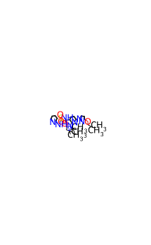 CC(C)COc1ccn(-c2ccc(C(=O)NS(=O)(=O)c3cccnc3N)c(N3CCC(C)C3(C)C)n2)n1